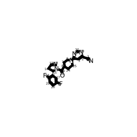 N#Cc1cc(N2CCC(C(=O)N3N=CC[C@H]3c3cc(F)ccc3F)CC2)ncn1